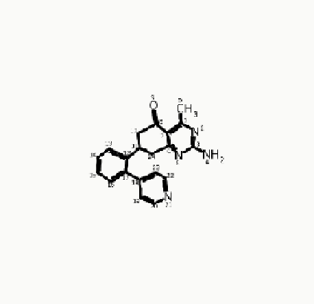 Cc1nc(N)nc2c1C(=O)CC(c1ccccc1-c1ccncc1)C2